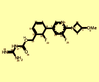 COC1CN(c2ncc(C3C=CC=C(COC(=O)NC(=N)N)C3F)cc2F)C1